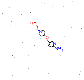 Nc1ccc(COC2CCN(CCO)CC2)cn1